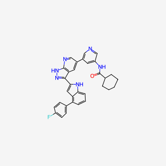 O=C(Nc1cncc(-c2cnc3[nH]nc(-c4cc5c(-c6ccc(F)cc6)cccc5[nH]4)c3c2)c1)C1CCCCC1